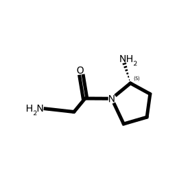 NCC(=O)N1CCC[C@H]1N